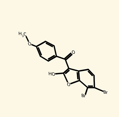 COc1ccc(C(=O)c2c(O)oc3c(Br)c(Br)ccc23)cc1